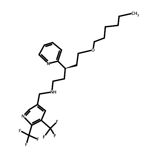 CCCCCCOCC[C@@H](CCNCc1cnc(C(F)(F)F)c(C(F)(F)F)c1)c1ccccn1